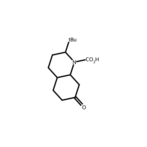 CC(C)(C)C1CCC2CCC(=O)CC2N1C(=O)O